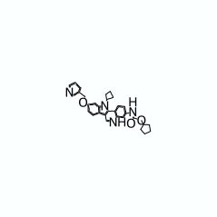 N=Cc1c(-c2ccc(NC(=O)OC3CCCC3)cc2)n(C2CCC2)c2cc(OCc3cccnc3)ccc12